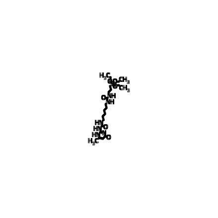 CCO[Si](CCCNC(=O)NCCCCCCNC(=O)Nc1nc(=O)cc(C)[nH]1)(OCC)OCC